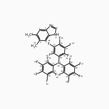 Cc1cc2nc[nH]c2cc1C.Fc1c(F)c(F)[c]([Al]([c]2c(F)c(F)c(F)c(F)c2F)[c]2c(F)c(F)c(F)c(F)c2F)c(F)c1F